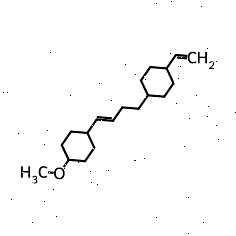 C=CC1CCC(CCC=CC2CCC(OC)CC2)CC1